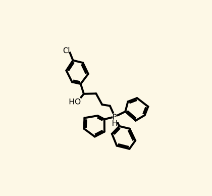 OC(CCC[PH](c1ccccc1)(c1ccccc1)c1ccccc1)c1ccc(Cl)cc1